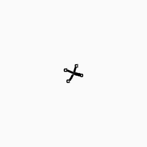 [O]=[Bi]([Cl])([Cl])[Cl]